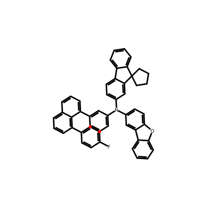 Fc1ccc(-c2cccc3cccc(-c4cccc(N(c5ccc6c(c5)C5(CCCC5)c5ccccc5-6)c5ccc6oc7ccccc7c6c5)c4)c23)cc1